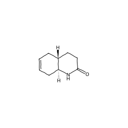 O=C1CC[C@H]2CC=CC[C@@H]2N1